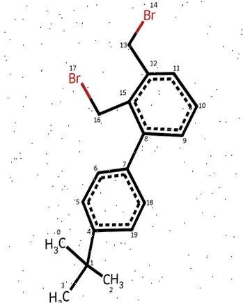 CC(C)(C)c1ccc(-c2cccc(CBr)c2CBr)cc1